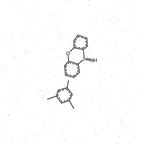 Cc1cc(C)cc(C)c1.N=S1c2ccccc2Oc2ccccc21